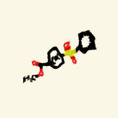 COC(=O)C12CCC(S(=O)(=O)c3ccccc3)(CC1)CC2